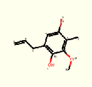 C=CCc1cc(Br)c(C)c(OC)c1O